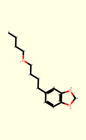 CCCCOCCCCc1ccc2c(c1)OCO2